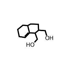 OCC1CCC2CCCC=C2C1CO